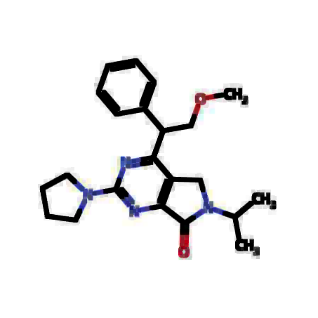 COCC(c1ccccc1)c1nc(N2CCCC2)nc2c1CN(C(C)C)C2=O